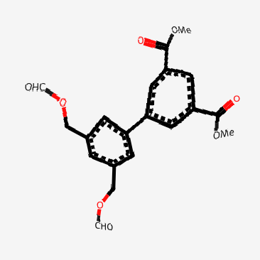 COC(=O)c1cc(C(=O)OC)cc(-c2cc(COC=O)cc(COC=O)c2)c1